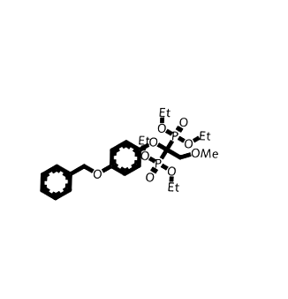 CCOP(=O)(OCC)C(COC)(Oc1ccc(OCc2ccccc2)cc1)P(=O)(OCC)OCC